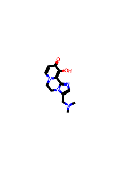 CN(C)Cc1cnc2n1CCn1ccc(=O)c(O)c1-2